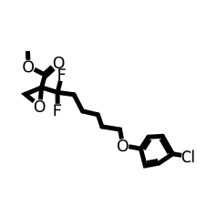 COC(=O)C1(C(F)(F)CCCCCOc2ccc(Cl)cc2)CO1